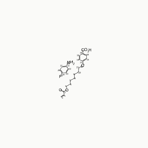 C=CC(=O)OCCCCCCCOc1ccc(C(=O)O)cc1.Nc1ccc(F)cc1